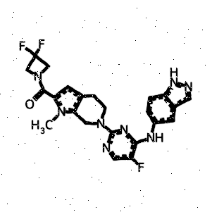 Cn1c(C(=O)N2CC(F)(F)C2)cc2c1CN(c1ncc(F)c(Nc3ccc4[nH]ncc4c3)n1)CC2